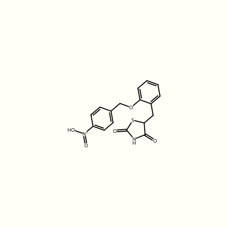 O=C1NC(=O)C(Cc2ccccc2OCc2ccc([N+](=O)O)cc2)S1